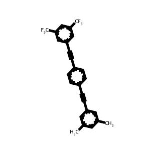 Cc1cc(C)cc(C#Cc2ccc(C#Cc3cc(C(F)(F)F)cc(C(F)(F)F)c3)cc2)c1